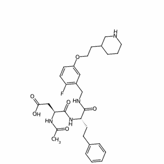 CC(=O)N[C@@H](CC(=O)O)C(=O)N[C@@H](CCc1ccccc1)C(=O)NCc1cc(OCCC2CCCNC2)ccc1F